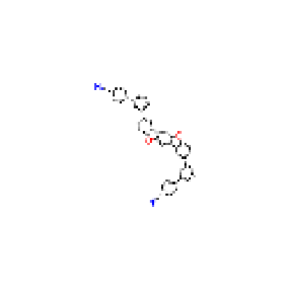 N#Cc1ccc(-c2cccc(-c3ccc4oc5cc6c(cc5c4c3)oc3ccc(-c4cccc(-c5ccc(C#N)cc5)c4)cc36)c2)cc1